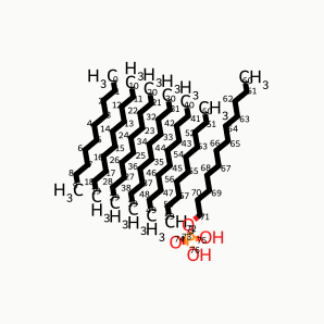 CCCCCCCCCC.CCCCCCCCCC.CCCCCCCCCC.CCCCCCCCCC.CCCCCCCCCC.CCCCCCCCCC.CCCCCCCCCCCCOP(=O)(O)O